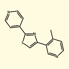 Cc1ccncc1-c1csc(-c2ccncc2)n1